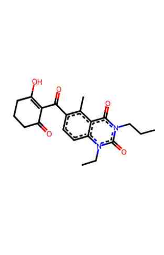 CCCn1c(=O)c2c(C)c(C(=O)C3=C(O)CCCC3=O)ccc2n(CC)c1=O